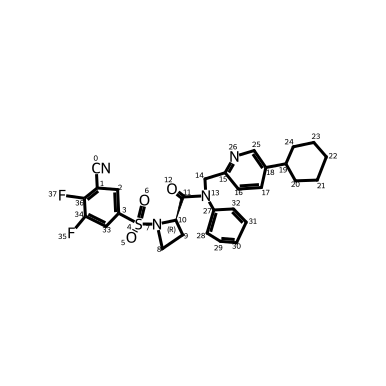 N#Cc1cc(S(=O)(=O)N2CC[C@@H]2C(=O)N(Cc2ccc(C3CCCCC3)cn2)c2ccccc2)cc(F)c1F